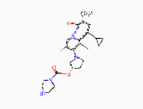 Cc1c(N2CC[C@H](OC(=O)N3CCNCC3)C2)c(F)cn2c(=O)c(C(=O)O)cc(C3CC3)c12